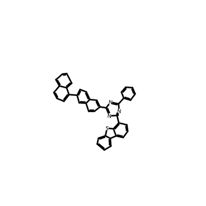 c1ccc(-c2nc(-c3ccc4cc(-c5cccc6ccccc56)ccc4c3)nc(-c3cccc4c3sc3ccccc34)n2)cc1